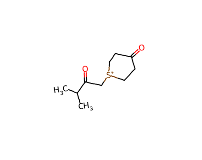 CC(C)C(=O)C[S+]1CCC(=O)CC1